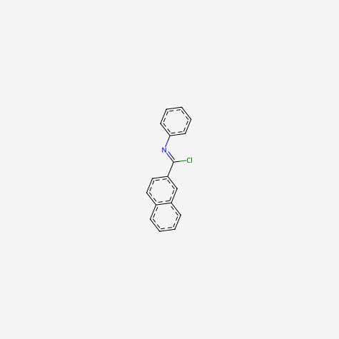 Cl/C(=N\c1ccccc1)c1ccc2ccccc2c1